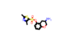 Cc1nc(C)c(S(=O)(=O)Oc2cccc3c2CC(N)CO3)s1